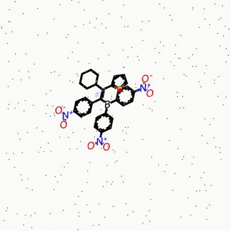 O=[N+]([O-])c1ccc(B(/C(=C(\c2cccs2)C2CCCCC2)c2ccc([N+](=O)[O-])cc2)c2ccc([N+](=O)[O-])cc2)cc1